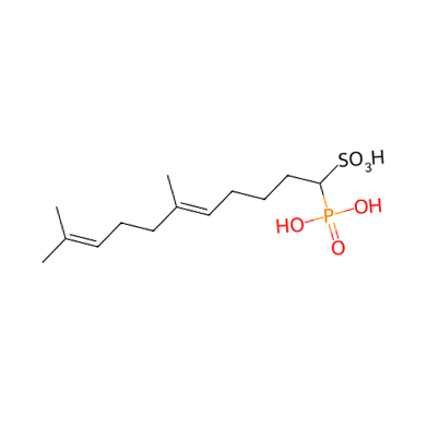 CC(C)=CCC/C(C)=C/CCCC(P(=O)(O)O)S(=O)(=O)O